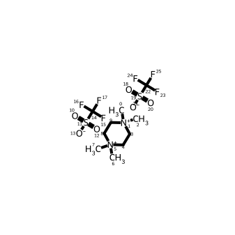 C[N+]1(C)CC[N+](C)(C)CC1.O=S(=O)([O-])C(F)(F)F.O=S(=O)([O-])C(F)(F)F